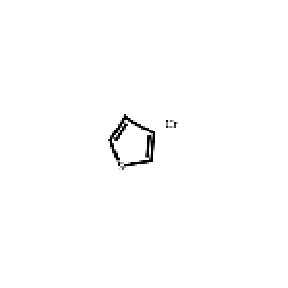 [Cr].c1ccsc1